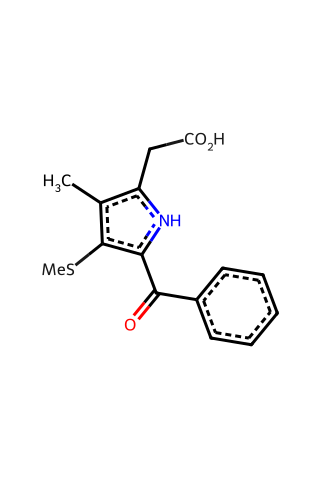 CSc1c(C(=O)c2ccccc2)[nH]c(CC(=O)O)c1C